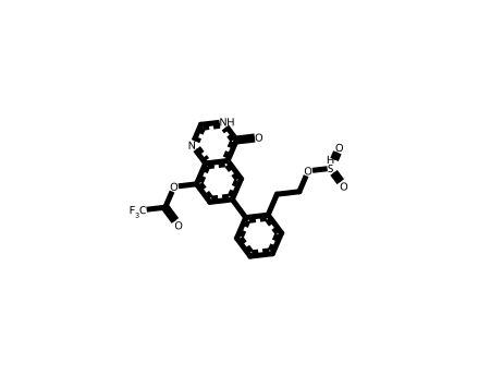 O=C(Oc1cc(-c2ccccc2CCO[SH](=O)=O)cc2c(=O)[nH]cnc12)C(F)(F)F